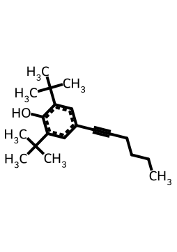 CCCCC#Cc1cc(C(C)(C)C)c(O)c(C(C)(C)C)c1